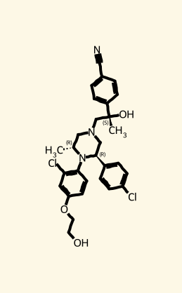 C[C@@H]1CN(C[C@@](C)(O)c2ccc(C#N)cc2)C[C@@H](c2ccc(Cl)cc2)N1c1ccc(OCCO)cc1Cl